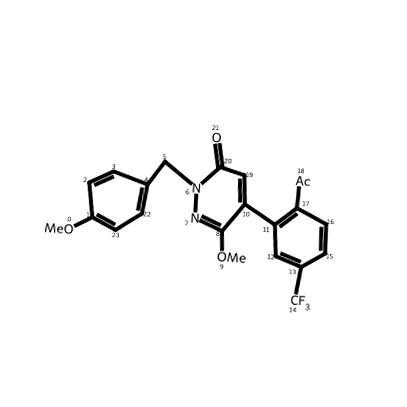 COc1ccc(Cn2nc(OC)c(-c3cc(C(F)(F)F)ccc3C(C)=O)cc2=O)cc1